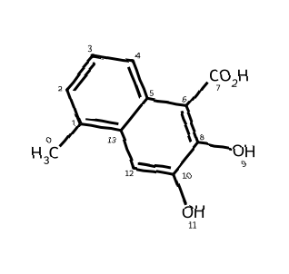 Cc1cccc2c(C(=O)O)c(O)c(O)cc12